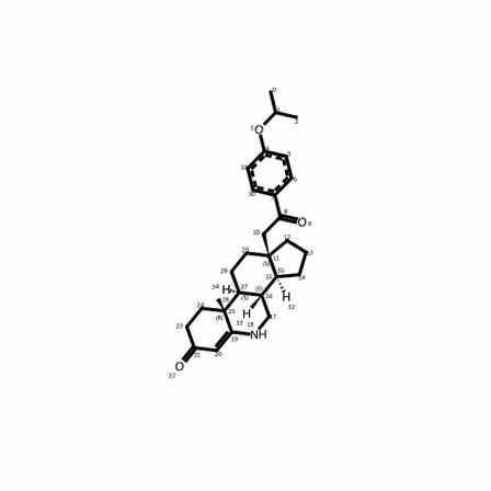 CC(C)Oc1ccc(C(=O)C[C@@]23CCC[C@H]2[C@@H]2CNC4=CC(=O)CC[C@]4(C)[C@H]2CC3)cc1